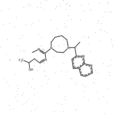 C/N=C(\N=C/CC(O)C(F)(F)F)N1CCCCN(C(C)c2ccc3cccnc3n2)CC1